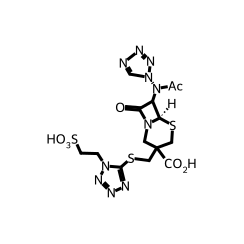 CC(=O)N(C1C(=O)N2CC(CSc3nnnn3CCS(=O)(=O)O)(C(=O)O)CS[C@H]12)n1cnnn1